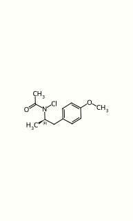 COc1ccc(C[C@@H](C)N(Cl)C(C)=O)cc1